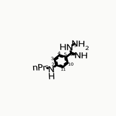 CCCNc1ccc(C(=N)NN)cc1